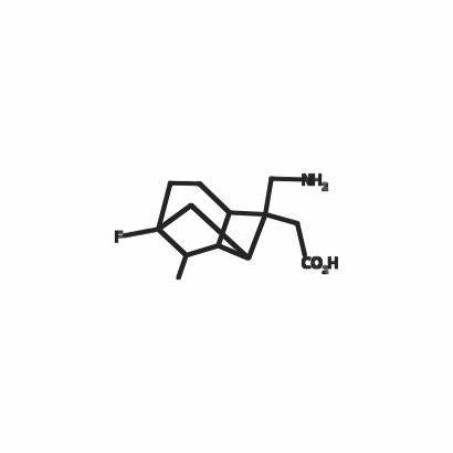 CC1C2C3CCC1(F)CC2C3(CN)CC(=O)O